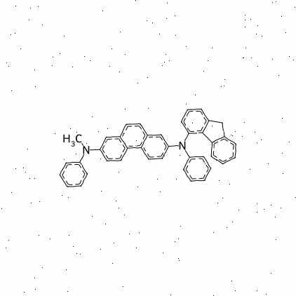 CN(c1ccccc1)c1ccc2c(ccc3cc(N(c4ccccc4)c4cccc5c4-c4ccccc4C5)ccc32)c1